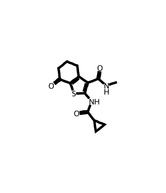 CNC(=O)c1c(NC(=O)C2CC2)sc2c1CCCC2=O